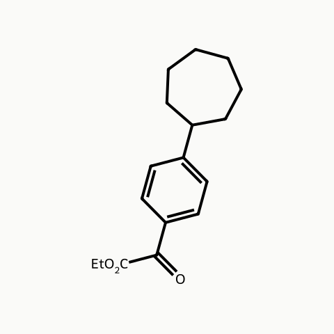 CCOC(=O)C(=O)c1ccc(C2CCCCCC2)cc1